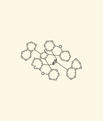 c1ccc2c(c1)Oc1ccccc1C21c2cc(-c3cccc4ccccc34)sc2C2(c3ccccc3Oc3ccccc32)c2cc(-c3cccc4ccccc34)sc21